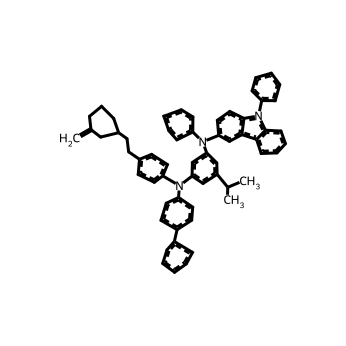 C=C1CCCC(CCc2ccc(N(c3ccc(-c4ccccc4)cc3)c3cc(C(C)C)cc(N(c4ccccc4)c4ccc5c(c4)c4ccccc4n5-c4ccccc4)c3)cc2)C1